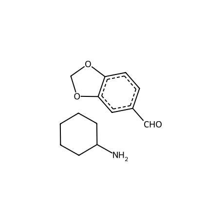 NC1CCCCC1.O=Cc1ccc2c(c1)OCO2